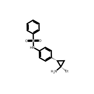 CC[C@@]1(N)C[C@H]1c1ccc(NS(=O)(=O)c2ccccc2)cc1